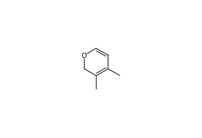 CC1=C(C)COC=C1